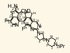 CC(C)N1CCN([C@H]2CCN(c3ncc4c5c(c(-c6ncc(F)c7sc(N)c(C#N)c67)c(F)c4n3)COC5)C2)CC1